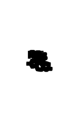 Cc1ccc2c(c1)CCc1cc(C)ccc1C2(C[C@@H](C)N)c1nc(=O)on1C(C)C